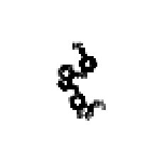 C#Cc1cccc(Nc2ncnn3ccc(CN4CC[C@@H](N)[C@@H](C(C)=O)C4)c23)c1